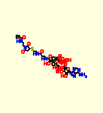 CCC(=O)NCCN1C(=O)CC(SCCNC(=O)CCNC(=O)[C@H](O)C(C)(C)COP(=O)(O)OP(=O)(O)OC[C@H]2O[C@@H](n3cnc4c(N)ncnc43)[C@@H](O)C2OP(=O)(O)O)C1=O